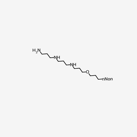 CCCCCCCCCCCCOCCCNCCCNCCCN